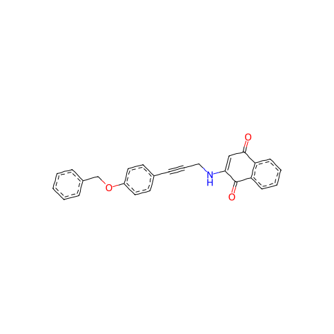 O=C1C=C(NCC#Cc2ccc(OCc3ccccc3)cc2)C(=O)c2ccccc21